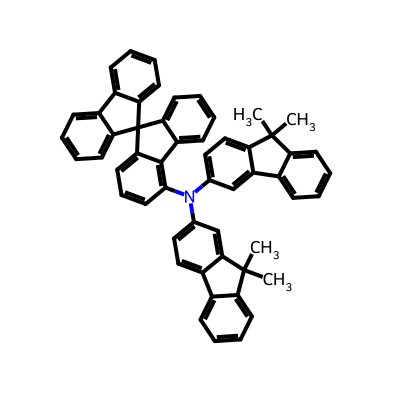 CC1(C)c2ccccc2-c2cc(N(c3ccc4c(c3)C(C)(C)c3ccccc3-4)c3cccc4c3-c3ccccc3C43c4ccccc4-c4ccccc43)ccc21